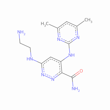 Cc1cc(C)nc(Nc2cc(NCCN)nnc2C(N)=O)n1